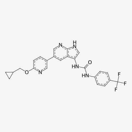 O=C(Nc1ccc(C(F)(F)F)cc1)Nc1c[nH]c2ncc(-c3ccc(OCC4CC4)nc3)cc12